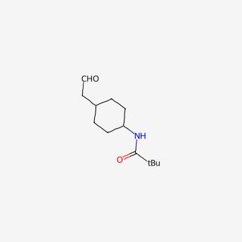 CC(C)(C)C(=O)NC1CCC(CC=O)CC1